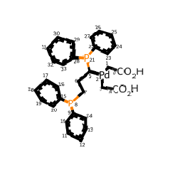 O=C(O)[CH2][Pd]([CH2]C(=O)O)[CH](CCP(c1ccccc1)c1ccccc1)P(c1ccccc1)c1ccccc1